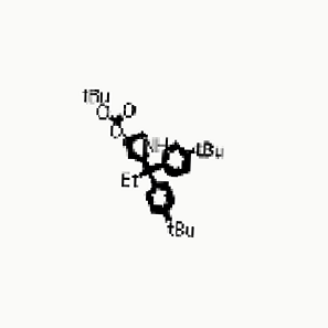 CCC(c1ccc(C(C)(C)C)cc1)(c1ccc(C(C)(C)C)cc1)C1C[C@@H](OC(=O)OC(C)(C)C)CN1